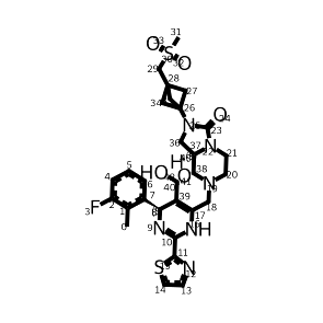 Cc1c(F)cccc1[C@@H]1N=C(c2nccs2)NC(CN2CCN3C(=O)N(C45CC(CS(C)(=O)=O)(C4)C5)C[C@@H]3C2)=C1C(=O)O